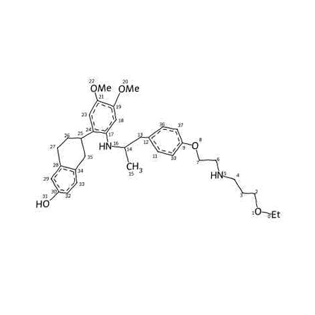 CCOCCCNCCOc1ccc(CC(C)Nc2cc(OC)c(OC)cc2C2CCc3cc(O)ccc3C2)cc1